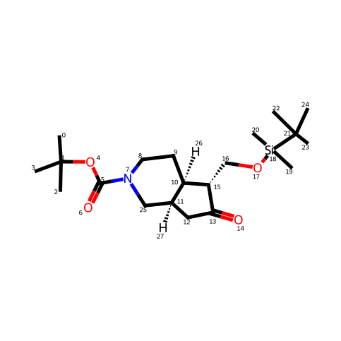 CC(C)(C)OC(=O)N1CC[C@@H]2[C@@H](CC(=O)[C@H]2CO[Si](C)(C)C(C)(C)C)C1